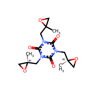 CC1(Cn2c(=O)n(C[C@]3(C)CO3)c(=O)n(C[C@]3(C)CO3)c2=O)CO1